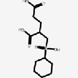 O=C(O)CCC(CP(=O)(O)C1CCCCC1)C(=O)O